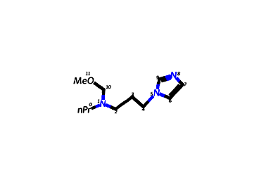 CCCN(CCCn1ccnc1)COC